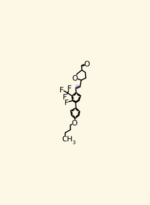 CCCCOc1ccc(-c2ccc(/C=C/C3CCC(C=O)CO3)c(C(F)(F)F)c2F)cc1